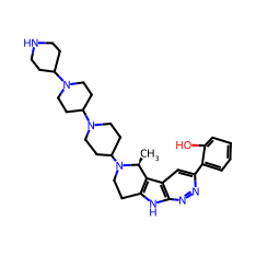 C[C@H]1c2c([nH]c3nnc(-c4ccccc4O)cc23)CCN1C1CCN(C2CCN(C3CCNCC3)CC2)CC1